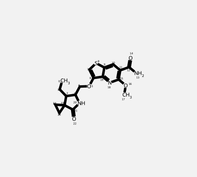 CCC1C(COc2csc3cc(C(N)=O)c(OC)nc23)NC(=O)C12CC2